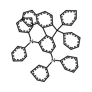 c1ccc(N(c2ccccc2)c2cc(N(c3ccccc3)c3ccccc3)c3c(c2)C(c2ccccc2)(c2ccccc2)c2ccc4ccccc4c2-3)cc1